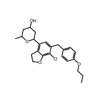 CCCOc1ccc(Cc2cc(C3CC(O)CC(C)O3)c3c(c2Cl)OCC3)cc1